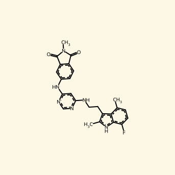 Cc1[nH]c2c(F)ccc(C)c2c1CCNc1cc(Nc2ccc3c(c2)C(=O)N(C)C3=O)ncn1